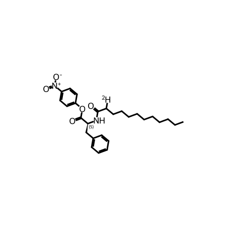 [2H]C(CCCCCCCCCC)C(=O)N[C@@H](Cc1ccccc1)C(=O)Oc1ccc([N+](=O)[O-])cc1